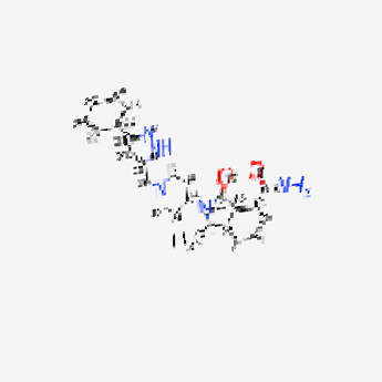 CC1c2cccc(C(N)=O)c2C(=O)N1C1CCN(Cc2cc(-c3ccccc3)n[nH]2)CC1